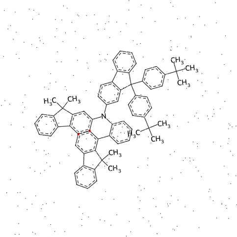 CC(C)(C)c1ccc(C2(c3ccc(C(C)(C)C)cc3)c3ccccc3-c3ccc(N(c4ccc5c(c4)C(C)(C)c4ccccc4-5)c4ccccc4-c4cccc5c4C(C)(C)c4ccccc4-5)cc32)cc1